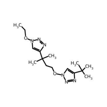 CCOn1cc(C(C)(C)CCOn2cc(C(C)(C)C)nn2)nn1